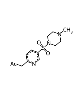 CC(=O)Cc1ccc(S(=O)(=O)N2CCN(C)CC2)cn1